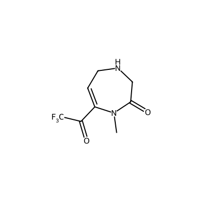 CN1C(=O)CNCC=C1C(=O)C(F)(F)F